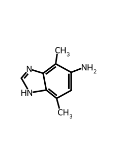 Cc1c(N)cc(C)c2[nH]cnc12